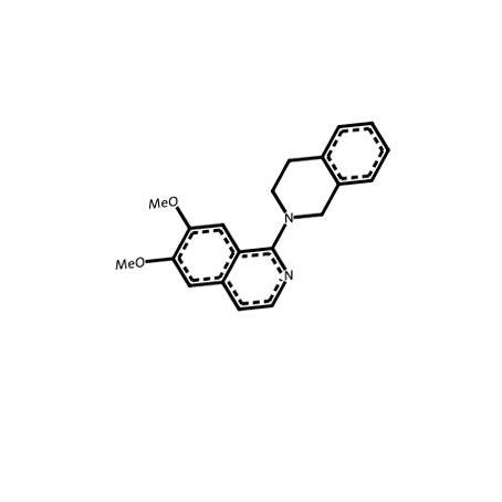 COc1cc2ccnc(N3CCc4ccccc4C3)c2cc1OC